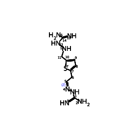 N=C(N)N/N=C\Cc1ccc(CNNC(=N)N)s1